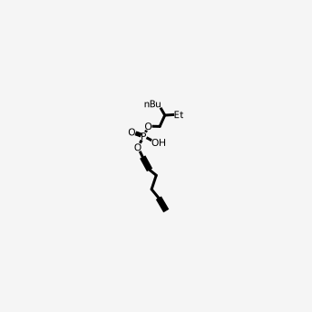 C#CCCC#COP(=O)(O)OCC(CC)CCCC